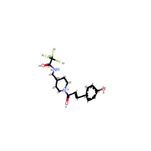 O=C(/C=C/c1ccc(Br)cc1)N1CCC(CNC(=O)C(F)(F)F)CC1